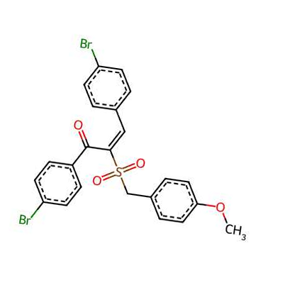 COc1ccc(CS(=O)(=O)C(=Cc2ccc(Br)cc2)C(=O)c2ccc(Br)cc2)cc1